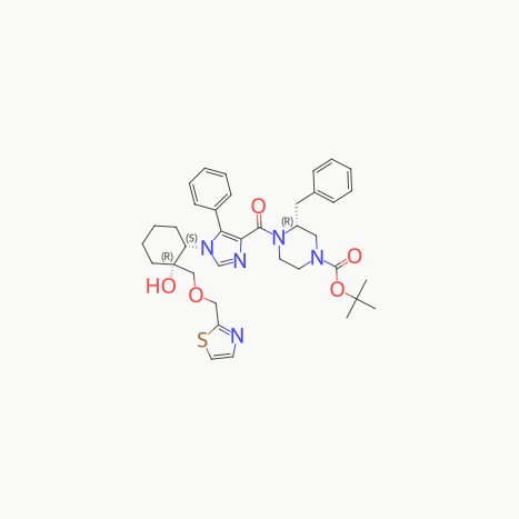 CC(C)(C)OC(=O)N1CCN(C(=O)c2ncn([C@H]3CCCC[C@]3(O)COCc3nccs3)c2-c2ccccc2)[C@H](Cc2ccccc2)C1